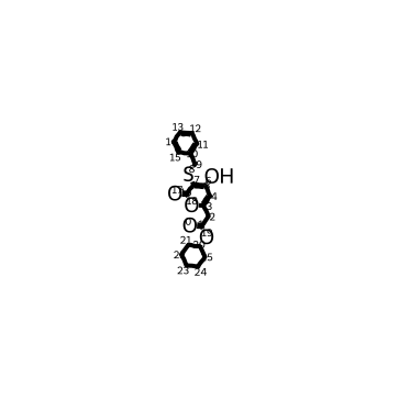 O=C(Cc1cc(O)c(SCc2ccccc2)c(=O)o1)OC1CCCCC1